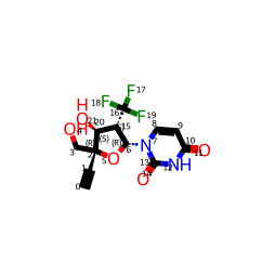 C#C[C@]1(CO)O[C@@H](n2ccc(=O)[nH]c2=O)[C@@H](C(F)(F)F)[C@@H]1O